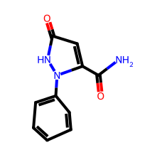 NC(=O)c1cc(=O)[nH]n1-c1ccccc1